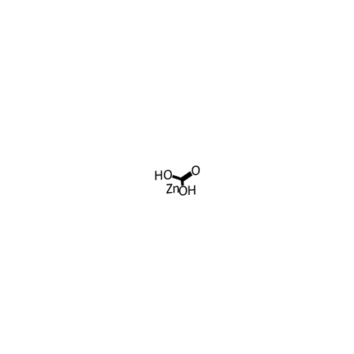 O=C(O)O.[Zn]